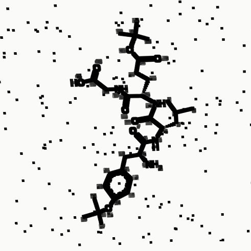 CC(C)C[C@H](NC(=O)[C@@H](N)Cc1ccc(OC(C)(C)C)cc1)C(=O)N[C@@H](CCC(=O)OC(C)(C)C)C(=O)NCC(=O)O